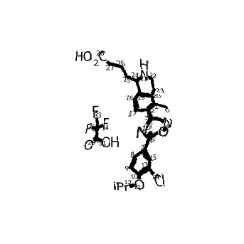 Cc1c(-c2noc(-c3ccc(OC(C)C)c(Cl)c3)n2)ccc2c1CCNC2CCCC(=O)O.O=C(O)C(F)(F)F